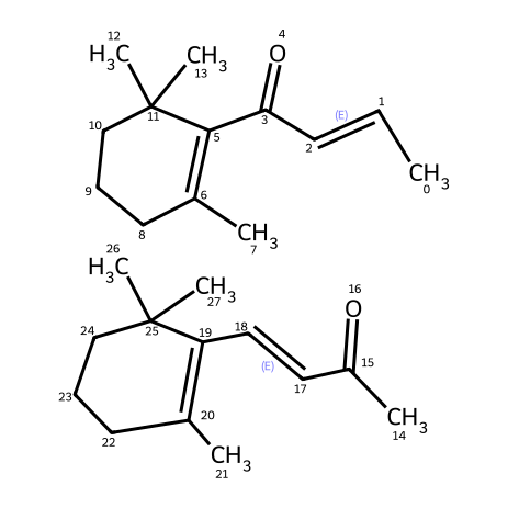 C/C=C/C(=O)C1=C(C)CCCC1(C)C.CC(=O)/C=C/C1=C(C)CCCC1(C)C